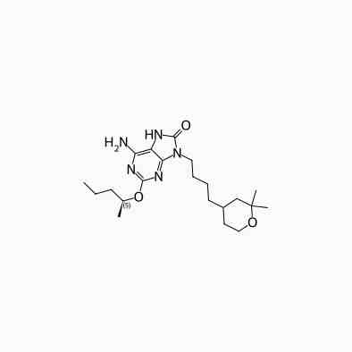 CCC[C@H](C)Oc1nc(N)c2[nH]c(=O)n(CCCCC3CCOC(C)(C)C3)c2n1